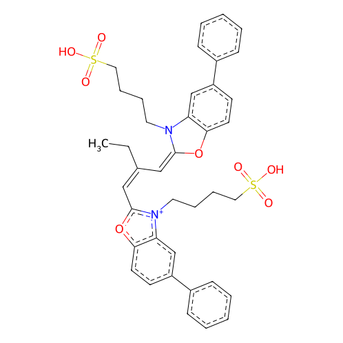 CCC(=Cc1oc2ccc(-c3ccccc3)cc2[n+]1CCCCS(=O)(=O)O)C=C1Oc2ccc(-c3ccccc3)cc2N1CCCCS(=O)(=O)O